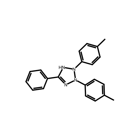 Cc1ccc(N2N=C(c3ccccc3)NN2c2ccc(C)cc2)cc1